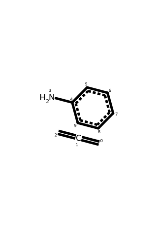 C=C=C.Nc1ccccc1